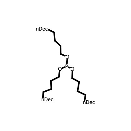 CCCCCCCCCCCCCCOP(OCCCCCCCCCCCCCC)OCCCCCCCCCCCCCC